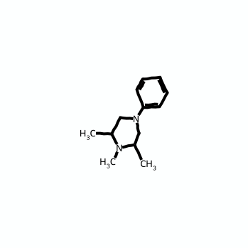 CC1CN(c2ccccc2)CC(C)N1C